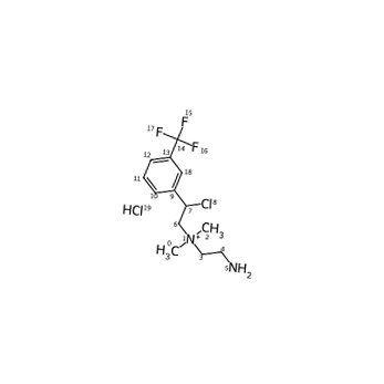 C[N+](C)(CCN)CC(Cl)c1cccc(C(F)(F)F)c1.Cl